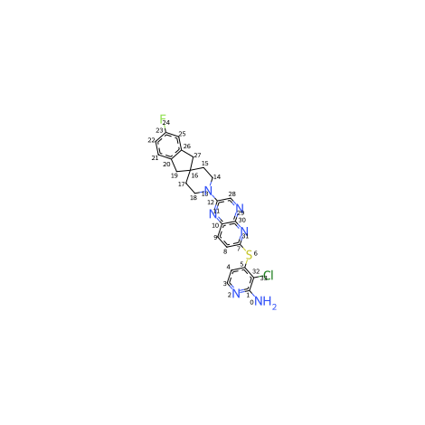 Nc1nccc(Sc2ccc3nc(N4CCC5(CC4)Cc4ccc(F)cc4C5)cnc3n2)c1Cl